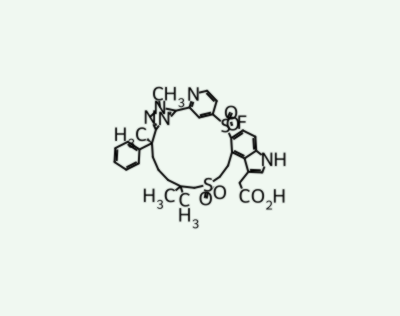 Cn1nc2nc1-c1cc(ccn1)S(=O)(=O)c1c(F)cc3[nH]cc(CC(=O)O)c3c1CCS(=O)(=O)CC(C)(C)CCC[C@]2(C)c1ccccc1